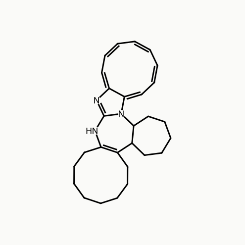 c1ccccc2c(ccc1)nc1n2C2CCCCCC2C2=C(CCCCCCCC2)N1